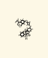 CN(C)C(=O)c1ccc(O[C@H]2C[C@@H](CC3CCN(C(=O)C(O)(c4ccccc4)C(F)(F)F)CC3)C2)cc1Cl